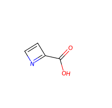 O=C(O)C1=NC=C1